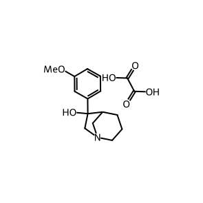 COc1cccc(C2(O)CN3CCCC2C3)c1.O=C(O)C(=O)O